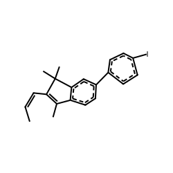 C/C=C\C1=C(C)c2ccc(-c3ccc(I)cc3)cc2C1(C)C